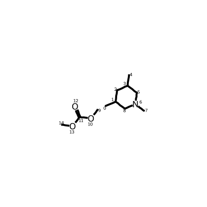 CC1CC(C)CN(C)C1.COC(=O)OC